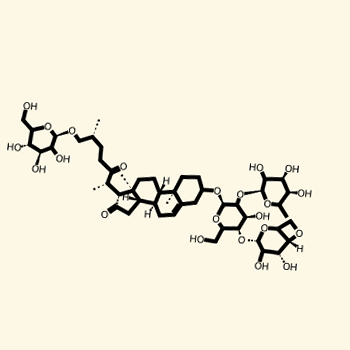 CC1O[C@@H](OC2[C@H](OC3CC[C@@]4(C)C(=CC[C@H]5[C@@H]6CC(=O)[C@H]([C@H](C)C(=O)CC[C@@H](C)CO[C@@H]7OC(CO)[C@@H](O)[C@H](O)C7O)[C@@]6(C)CC[C@@H]54)C3)OC(CO)[C@@H](O[C@@H]3OC4CO[C@@H]4[C@H](O)C3O)[C@@H]2O)C(O)[C@@H](O)[C@H]1O